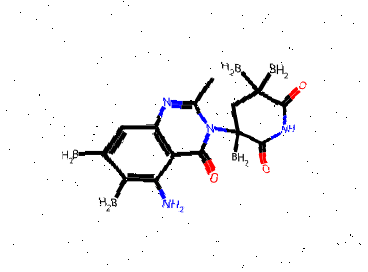 Bc1cc2nc(C)n(C3(B)CC(B)(B)C(=O)NC3=O)c(=O)c2c(N)c1B